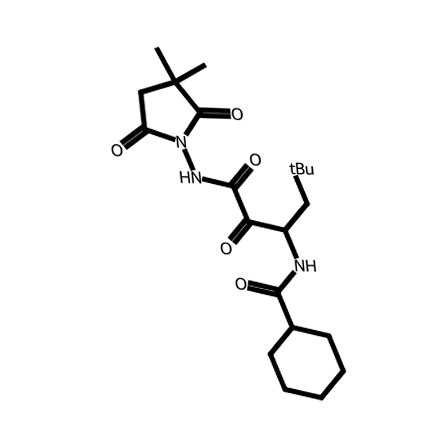 CC(C)(C)CC(NC(=O)C1CCCCC1)C(=O)C(=O)NN1C(=O)CC(C)(C)C1=O